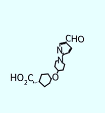 O=Cc1ccc(N2CCC(O[C@H]3CC[C@@H](CC(=O)O)CC3)CC2)nc1